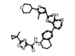 Cc1c(-c2nc3c(-c4ccc5c(c4)CCC[C@H]5NC(=O)c4noc(C5(C)CC5)n4)ccnc3[nH]2)cnn1C1CCOCC1